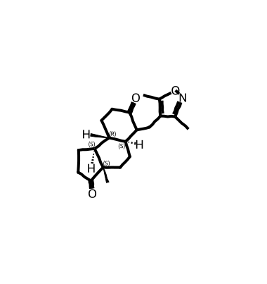 Cc1noc(C)c1CC1C(=O)CC[C@@H]2[C@@H]1CC[C@]1(C)C(=O)CC[C@@H]21